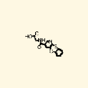 O=C(O)CNC(=O)c1cnc2c(c1)Oc1ccccc1S2